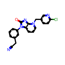 N#CCc1cccc(-n2c3cccn(Cc4ccc(Cl)nc4)c-3nc2=O)c1